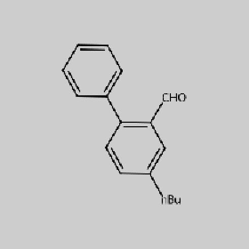 CCCCc1ccc(-c2ccccc2)c(C=O)c1